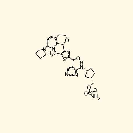 Cc1sc(C(=O)c2cncnc2N[C@@H]2CC[C@H](COS(N)(=O)=O)C2)cc1C1OCCc2ccc(N3CCCC3)nc21